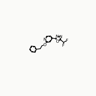 FC(F)c1nnc(-c2ccnc(OCCc3ccccc3)c2)o1